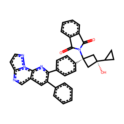 O=C1c2ccccc2C(=O)N1[C@]1(c2ccc(-c3nc4c(cnc5ccnn54)cc3-c3ccccc3)cc2)C[C@](O)(C2CC2)C1